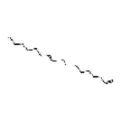 [CH2]CCCCC/C=C/CCCCCCCC=C